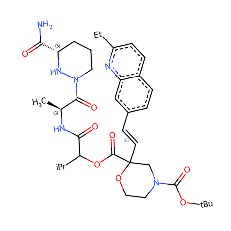 CCc1ccc2ccc(/C=C/C3(C(=O)OC(C(=O)N[C@@H](C)C(=O)N4CCC[C@@H](C(N)=O)N4)C(C)C)CN(C(=O)OC(C)(C)C)CCO3)cc2n1